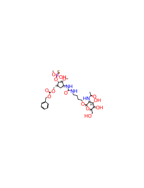 CO[C@H]1C(OP(O)(=S)OC)[C@@H](COC(=O)OCc2ccccc2)C[C@@H]1NC(=O)NCCCCO[C@@H]1O[C@H](CO)[C@H](O)[C@H](O)[C@H]1NC(C)=O